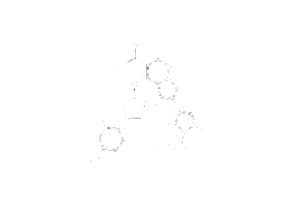 C[C@@H]1CN(c2ccc(C#N)cn2)C[C@H]1Nc1c(C(N)=O)cnn2cc(-c3cnn(CC(=O)O)c3)cc12